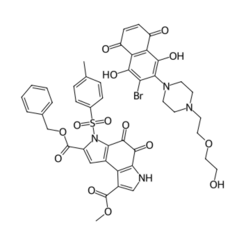 COC(=O)c1c[nH]c2c1-c1cc(C(=O)OCc3ccccc3)n(S(=O)(=O)c3ccc(C)cc3)c1C(=O)C2=O.O=C1C=CC(=O)c2c(O)c(N3CCN(CCOCCO)CC3)c(Br)c(O)c21